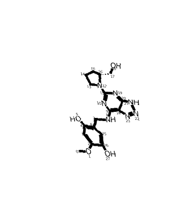 COc1cc(O)c(CNc2nc(N3CCC[C@@H]3CO)nc3[nH]nnc23)cc1O